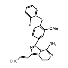 COc1cc(-c2nc(C=CC=O)c3ccnc(N)n23)ccc1Oc1ncccc1F